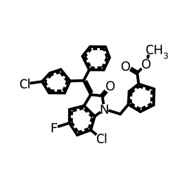 COC(=O)c1cccc(CN2C(=O)/C(=C(\c3ccccc3)c3ccc(Cl)cc3)c3cc(F)cc(Cl)c32)c1